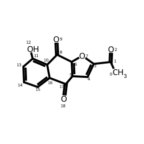 CC(=O)c1cc2c(o1)C(=O)c1c(O)cccc1C2=O